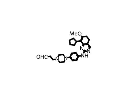 COC1=C(C2CCCC2)c2nc(Nc3ccc(N4CCN(CCC=O)CC4)cc3)ncc2CC1